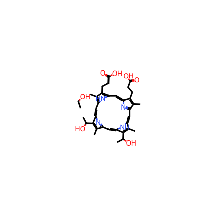 CC1=C(CCC(=O)O)c2cc3[nH]c(cc4nc(cc5[nH]c(cc1n2)c(C)c5C(C)O)C(C)=C4C(C)O)c(C)c3CCC(=O)O.CCO